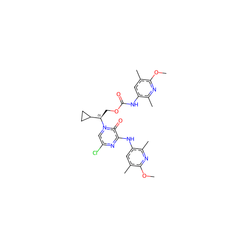 COc1nc(C)c(NC(=O)OC[C@H](C2CC2)n2cc(Cl)nc(Nc3cc(C)c(OC)nc3C)c2=O)cc1C